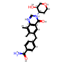 Cc1c(Cc2ccc(C(N)=O)cc2)cc2c(=O)n([C@H]3CCOC[C@@H]3O)cnc2c1C